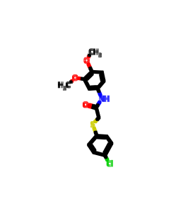 COc1ccc(NC(=O)CSc2ccc(Cl)cc2)cc1OC